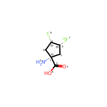 N[C@@]1(C(=O)O)C[C@@H]([18F])[C@@H](F)C1